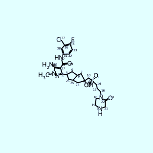 Cn1nc(C2CC3CC(O)(CS(=O)(=O)CCCN4CCNCC4=O)CC3C2)c(C(=O)Nc2ccc(F)c(Cl)c2)c1N